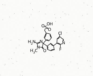 CN1C(=O)C(c2cccc(CS(=O)(=O)O)c2)(c2cccc(-c3cc(Cl)cnc3F)c2)N=C1N